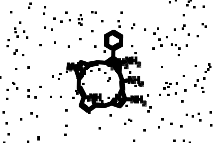 NC1=Cc2cc3ccc(cc4nc(cc5c(-c6ccccc6)c(N)c(c(N)c1n2)n5N)C=C4)[nH]3.[Mn]